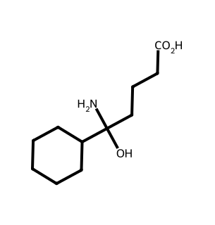 NC(O)(CCCC(=O)O)C1CCCCC1